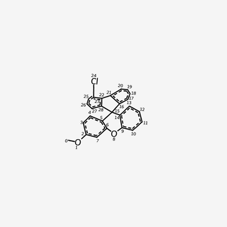 COc1ccc2c(c1)Oc1ccccc1C21c2ccccc2-c2c(Cl)cccc21